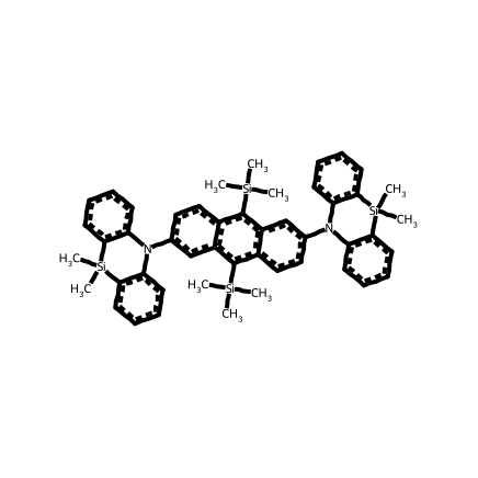 C[Si](C)(C)c1c2ccc(N3c4ccccc4[Si](C)(C)c4ccccc43)cc2c([Si](C)(C)C)c2ccc(N3c4ccccc4[Si](C)(C)c4ccccc43)cc12